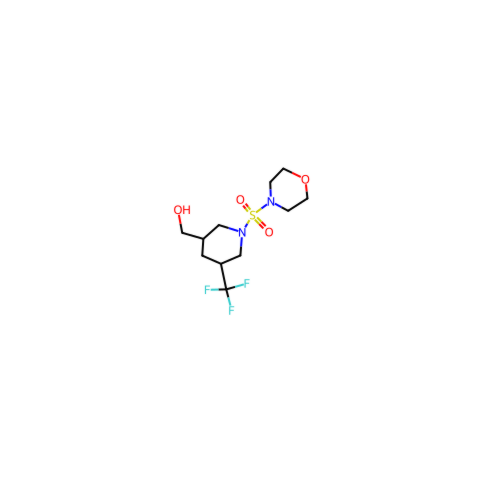 O=S(=O)(N1CCOCC1)N1CC(CO)CC(C(F)(F)F)C1